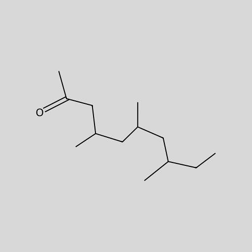 CCC(C)CC(C)CC(C)CC(C)=O